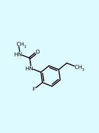 CCc1ccc(F)c(NC(=O)NC)c1